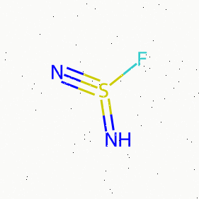 N#S(=N)F